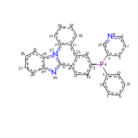 c1ccc(P(c2cccnc2)c2ccc3c(c2)c2ccccc2n2c4ccccc4nc32)cc1